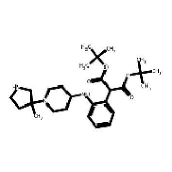 CC(C)(C)OC(=O)C(C(=O)OC(C)(C)C)c1ccccc1NC1CCN(C2(C)CCNC2)CC1